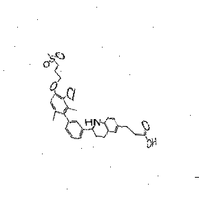 Cc1cc(OCCCS(C)(=O)=O)c(Cl)c(C)c1-c1cccc(C2CCc3cc(CCC(=O)O)ccc3N2)c1